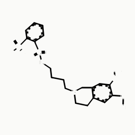 COc1cc2c(cc1OC)CN(CCCCNS(=O)(=O)c1ccccc1S(C)(=O)=O)CC2